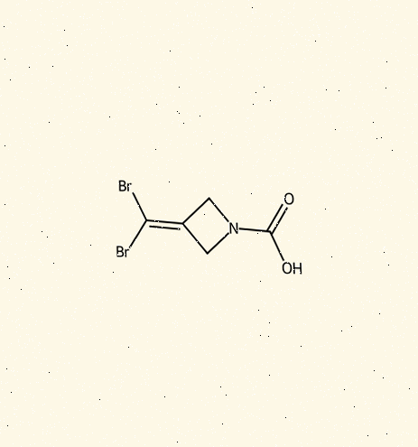 O=C(O)N1CC(=C(Br)Br)C1